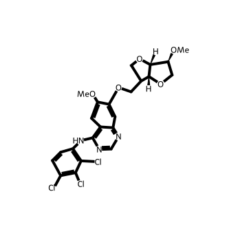 COc1cc2c(Nc3ccc(Cl)c(Cl)c3Cl)ncnc2cc1OCC1CO[C@@H]2[C@@H](OC)CO[C@H]12